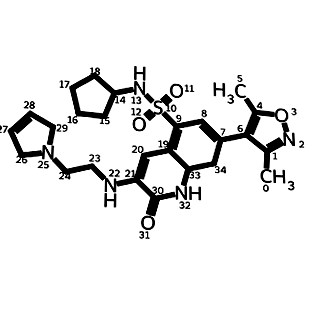 Cc1noc(C)c1C1=CC(S(=O)(=O)NC2CCCC2)=C2C=C(NCCN3CC=CC3)C(=O)NC2C1